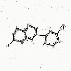 Fc1ccc2ncc(-c3ccnc(Cl)n3)cc2c1